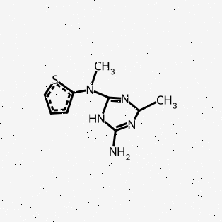 CC1N=C(N)NC(N(C)c2cccs2)=N1